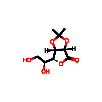 CC1(C)O[C@H]2[C@@H]([C@@H](O)CO)OC(=O)[C@H]2O1